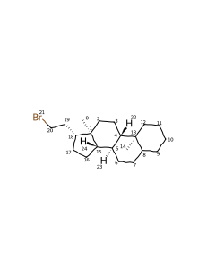 C[C@]12CC[C@H]3[C@@H](CCC4CCCC[C@@]43C)[C@@H]1CC[C@@H]2CCBr